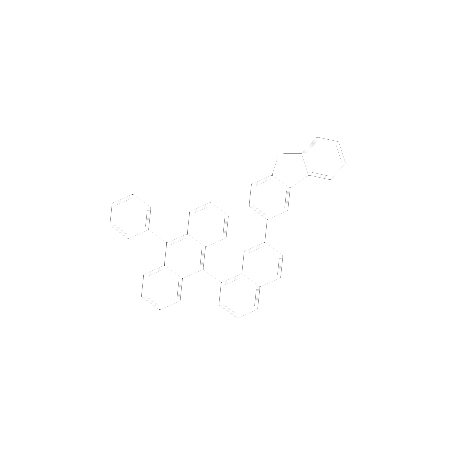 c1ccc(-c2c3ccccc3c(-c3cccc4ccc(-c5ccc6sc7ccccc7c6c5)cc34)c3ccccc23)cc1